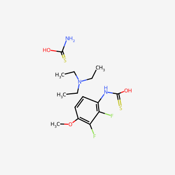 CCN(CC)CC.COc1ccc(NC(O)=S)c(F)c1F.NC(O)=S